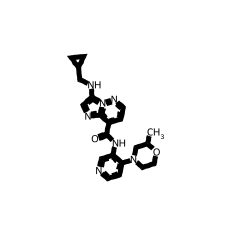 CC1CN(c2ccncc2NC(=O)c2ccnn3c(NCC4CC4)cnc23)CCO1